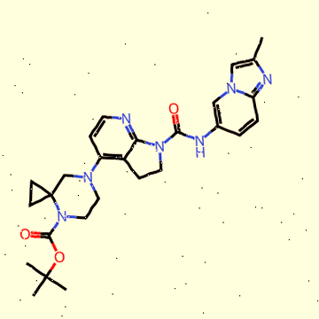 Cc1cn2cc(NC(=O)N3CCc4c(N5CCN(C(=O)OC(C)(C)C)C6(CC6)C5)ccnc43)ccc2n1